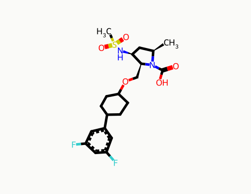 C[C@@H]1C[C@H](NS(C)(=O)=O)[C@H](COC2CCC(c3cc(F)cc(F)c3)CC2)N1C(=O)O